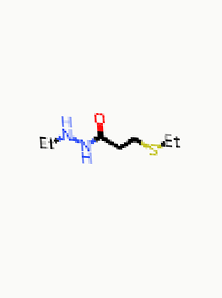 CCNNC(=O)CCSCC